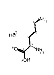 Br.NCCC[C@H](N)C(=O)O